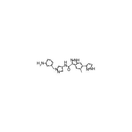 Cc1cc2c(C(=O)Nc3cnn(Cc4cccc(N)c4)c3)n[nH]c2cc1-c1cc[nH]n1